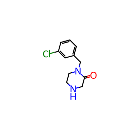 O=C1CNCCN1Cc1cccc(Cl)c1